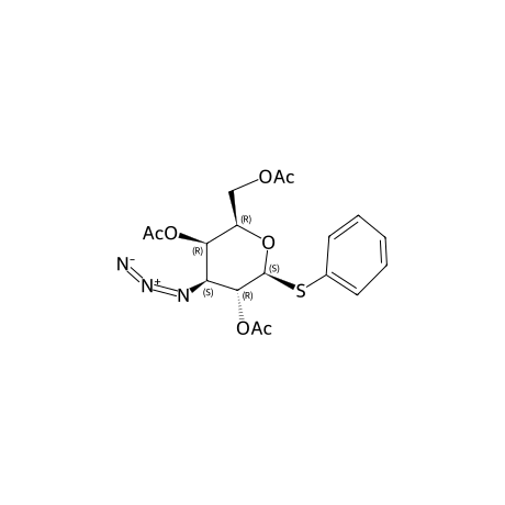 CC(=O)OC[C@H]1O[C@@H](Sc2ccccc2)[C@H](OC(C)=O)[C@@H](N=[N+]=[N-])[C@H]1OC(C)=O